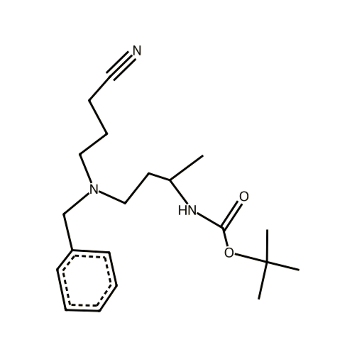 CC(CCN(CCCC#N)Cc1ccccc1)NC(=O)OC(C)(C)C